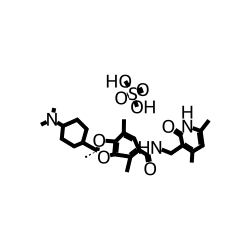 Cc1cc(C)c(CNC(=O)c2cc(C)c3c(c2C)O[C@@](C)(C2CCC(N(C)C)CC2)O3)c(=O)[nH]1.O=S(=O)(O)O